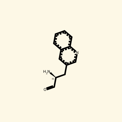 N[C@H](C=O)Cc1cnc2ccccc2c1